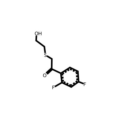 O=C(CSCCO)c1ccc(F)cc1F